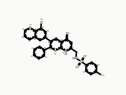 O=c1cc(CNS(=O)(=O)c2ccc(F)cc2)[nH]c2nc(-c3ccccc3)c(-c3cc(Cl)c4ncccc4c3)cc12